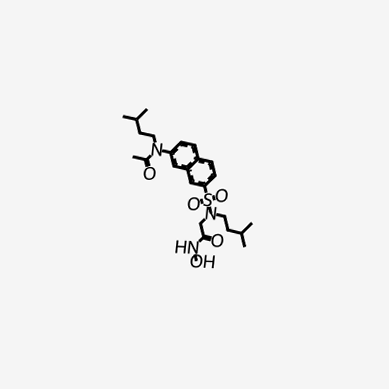 CC(=O)N(CCC(C)C)c1ccc2ccc(S(=O)(=O)N(CCC(C)C)CC(=O)NO)cc2c1